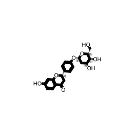 O=C1C[C@@H](c2ccc(O[C@H]3C[C@@H](O)[C@H](O)[C@@H](CO)O3)cc2)Oc2cc(O)ccc21